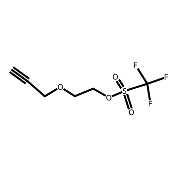 C#CCOCCOS(=O)(=O)C(F)(F)F